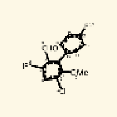 COc1c(Cl)cc(C(C)C)c(C=O)c1-c1ccc(F)cc1